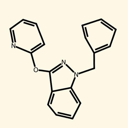 c1ccc(Cn2nc(Oc3ccccn3)c3ccccc32)cc1